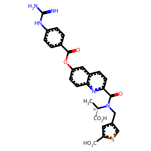 C[C@@H](C(=O)O)N(Cc1csc(C(=O)O)c1)C(=O)c1ccc2cc(OC(=O)c3ccc(NC(=N)N)cc3)ccc2n1